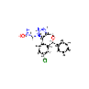 Cc1nnn(CNO)c1-c1ccc(Cl)cc1C(=O)c1ccccc1